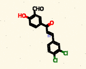 O=Cc1cc(C(=O)/C=C/c2ccc(Cl)c(Cl)c2)ccc1O